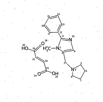 Cn1c(CN2CCCC2)cnc1-c1ccccc1.O=C(O)C=CC(=O)O